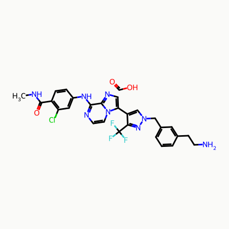 CNC(=O)c1ccc(Nc2nccn3c(-c4cn(Cc5cccc(CCN)c5)nc4C(F)(F)F)cnc23)cc1Cl.O=CO